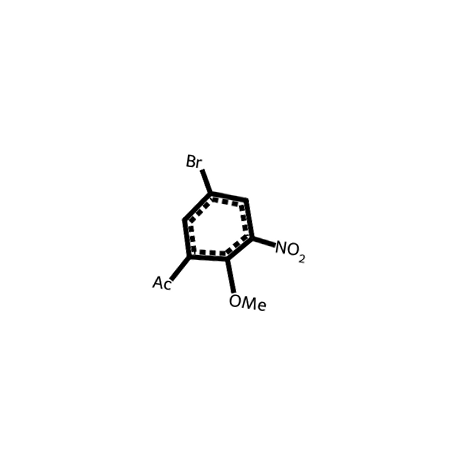 COc1c(C(C)=O)cc(Br)cc1[N+](=O)[O-]